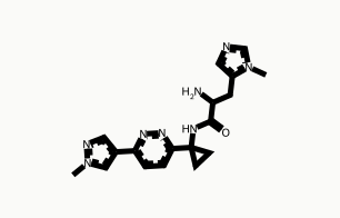 Cn1cc(-c2ccc(C3(NC(=O)C(N)Cc4cncn4C)CC3)nn2)cn1